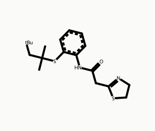 CC(C)(C)CC(C)(C)Sc1ccccc1NC(=O)CC1=NCCS1